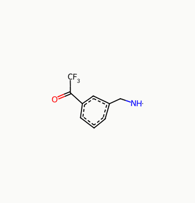 [NH]Cc1cccc(C(=O)C(F)(F)F)c1